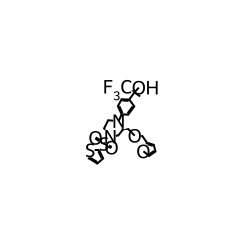 C[C@](O)(c1ccc(N2CCN(S(=O)(=O)c3cccs3)C[C@@H]2COCc2ccco2)cc1)C(F)(F)F